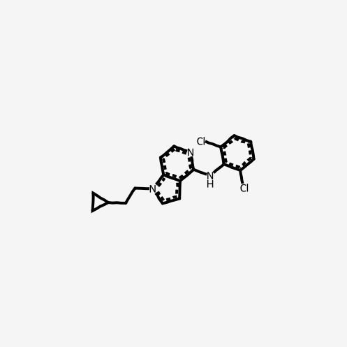 Clc1cccc(Cl)c1Nc1nccc2c1ccn2CCC1CC1